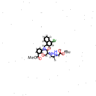 COC(=O)c1cccc2c1OC[C@H](NC[C@H](C)NCC(=O)OC(C)(C)C)C(=O)N2Cc1ccc(Br)c2ccccc12